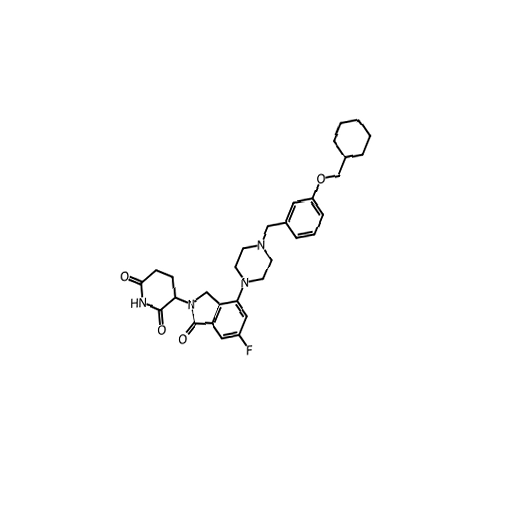 O=C1CCC(N2Cc3c(cc(F)cc3N3CCN(Cc4cccc(OCC5CCCCC5)c4)CC3)C2=O)C(=O)N1